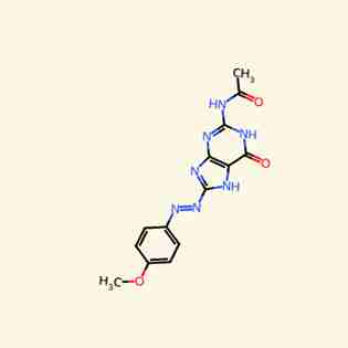 COc1ccc(N=Nc2nc3nc(NC(C)=O)[nH]c(=O)c3[nH]2)cc1